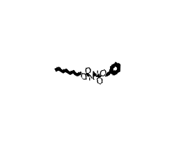 CCCCCCCCOC(=O)N=NC(=O)OCc1ccccc1